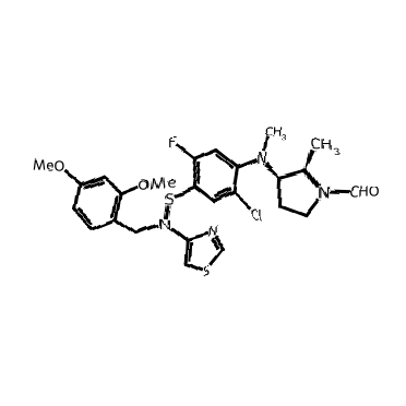 COc1ccc(CN(Sc2cc(Cl)c(N(C)[C@@H]3CCN(C=O)[C@@H]3C)cc2F)c2cscn2)c(OC)c1